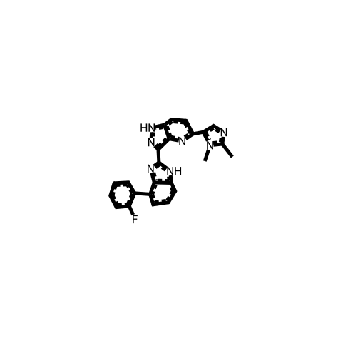 Cc1ncc(-c2ccc3[nH]nc(-c4nc5c(-c6ccccc6F)cccc5[nH]4)c3n2)n1C